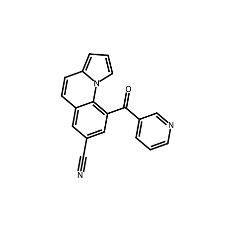 N#Cc1cc(C(=O)c2cccnc2)c2c(ccc3cccn32)c1